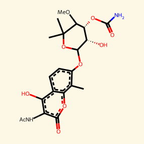 COC1[C@H](OC(N)=O)[C@H](O)C(Oc2ccc3c(O)c(NC(C)=O)c(=O)oc3c2C)OC1(C)C